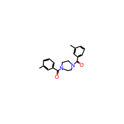 Cc1cccc(C(=O)N2CCN(C(=O)c3cccc(C)c3)CC2)c1